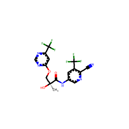 C[C@](O)(COc1cc(C(F)(F)F)ncn1)C(=O)Nc1cnc(C#N)c(C(F)(F)F)c1